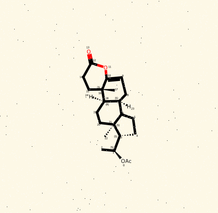 CC(=O)O[C@@H](C)[C@H]1CCC2[C@@H]3CC=C4OC(=O)CC[C@@]4(C)[C@@H]3CC[C@@]21C